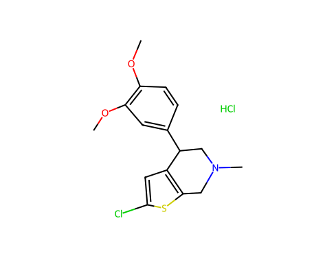 COc1ccc(C2CN(C)Cc3sc(Cl)cc32)cc1OC.Cl